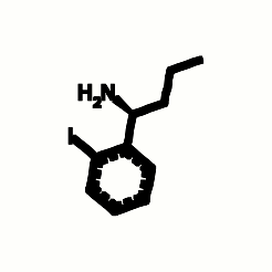 CCC[C@H](N)c1ccccc1I